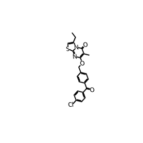 CCc1csc2nc(OCc3ccc(C(=O)c4ccc(Cl)cc4)cc3)c(C)c(=O)n12